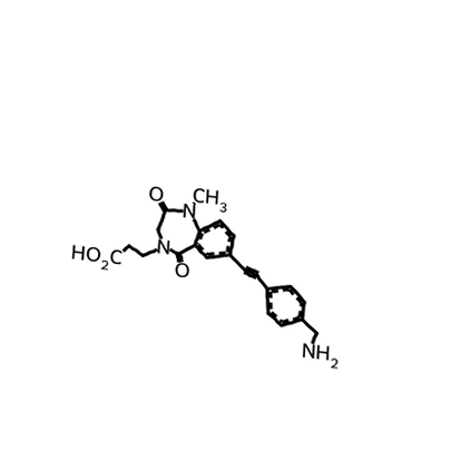 CN1C(=O)CN(CCC(=O)O)C(=O)c2cc(C#Cc3ccc(CN)cc3)ccc21